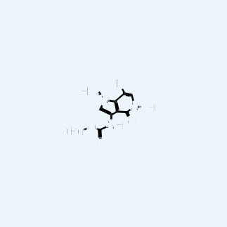 Cn1cc(F)c2c(c(NC(=O)OC(C)(C)C)cn2C)c1=O